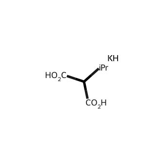 CC(C)C(C(=O)O)C(=O)O.[KH]